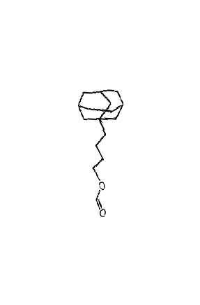 O=COCCCCC12CC3CC(CC(C3)C1)C2